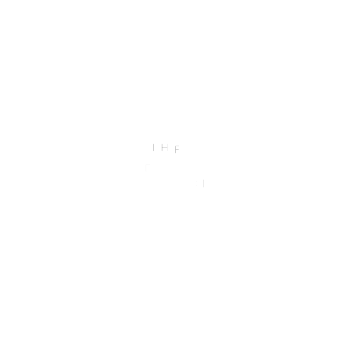 FC(F)=C(F)Cl.[LiH]